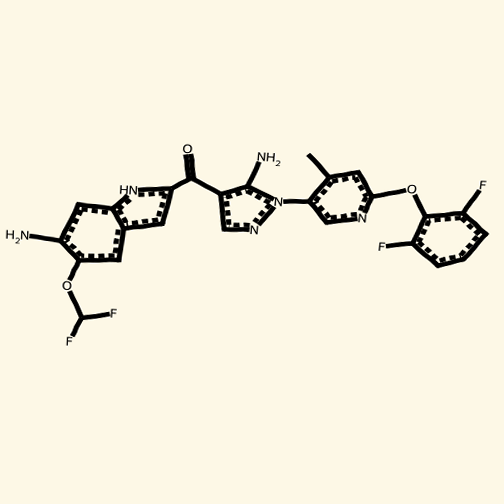 Cc1cc(Oc2c(F)cccc2F)ncc1-n1ncc(C(=O)c2cc3cc(OC(F)F)c(N)cc3[nH]2)c1N